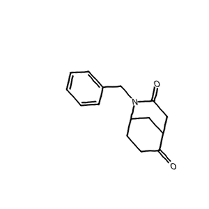 O=C1CCC2CC1CC(=O)N2Cc1ccccc1